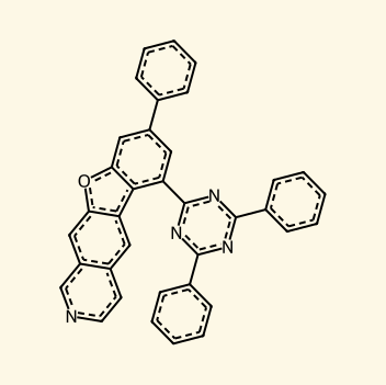 c1ccc(-c2cc(-c3nc(-c4ccccc4)nc(-c4ccccc4)n3)c3c(c2)oc2cc4cnccc4cc23)cc1